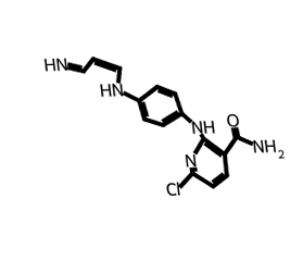 N=C/C=C\Nc1ccc(Nc2nc(Cl)ccc2C(N)=O)cc1